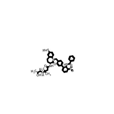 CSc1ccc2c(c1)CC[C@@H](NC(=O)CC(C)(C)NC[C@@H](C)O)C(=O)N2Cc1ccc(C2=CC=CC(=S(=O)=O)C2NC(=O)c2ccccc2)cc1